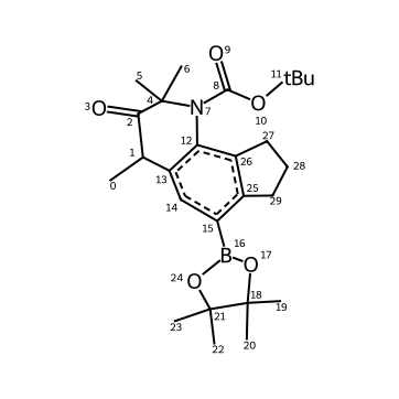 CC1C(=O)C(C)(C)N(C(=O)OC(C)(C)C)c2c1cc(B1OC(C)(C)C(C)(C)O1)c1c2CCC1